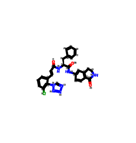 O=C(/C=C/c1cccc(Cl)c1-n1cnnn1)N[C@@H](Cc1ccccc1)C(=O)Nc1ccc2c(c1)CCNC2=O